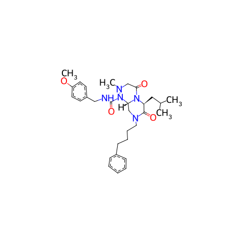 COc1ccc(CNC(=O)N2[C@H]3CN(CCCCc4ccccc4)C(=O)[C@H](CC(C)C)N3C(=O)CN2C)cc1